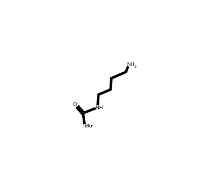 CCC[CH]C(=O)NCCCCN